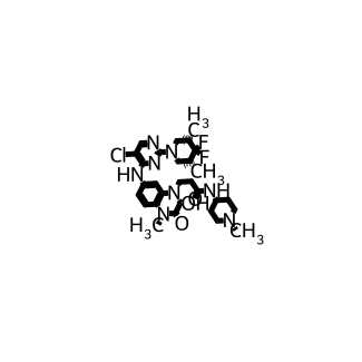 C[C@@H]1CN(c2ncc(Cl)c(Nc3ccc4c(c3)N(CCC(=O)NC3CCN(C)CC3)C(O)C(=O)N4C)n2)C[C@H](C)C1(F)F